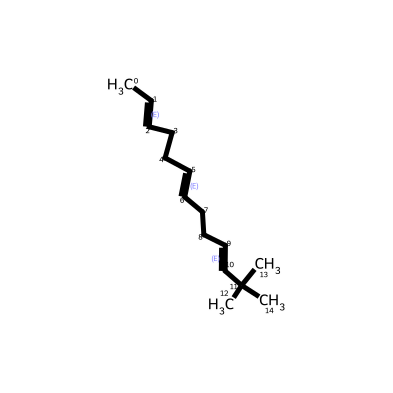 C/C=C/CC/C=C/CC/C=C/C(C)(C)C